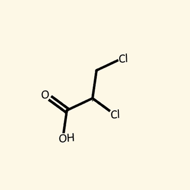 O=C(O)[C](Cl)CCl